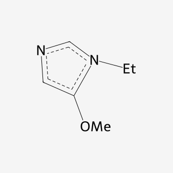 CCn1cncc1OC